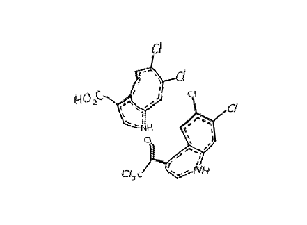 O=C(O)c1c[nH]c2cc(Cl)c(Cl)cc12.O=C(c1c[nH]c2cc(Cl)c(Cl)cc12)C(Cl)(Cl)Cl